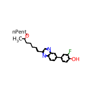 CCCCCOC(C)CCCC=Cc1cnc2cc(-c3ccc(O)c(F)c3)ccc2n1